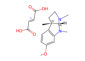 COc1ccc2c(c1)N(C)[C@H]1N(C)CC[C@@]21C.O=C(O)/C=C/C(=O)O